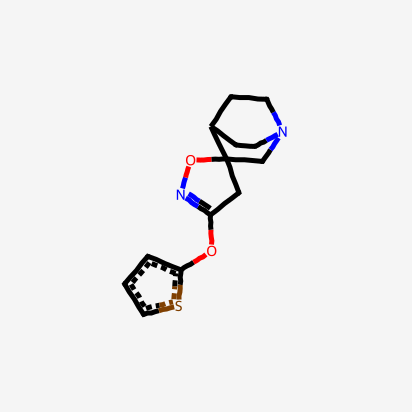 c1csc(OC2=NOC3(C2)CN2CCC3CC2)c1